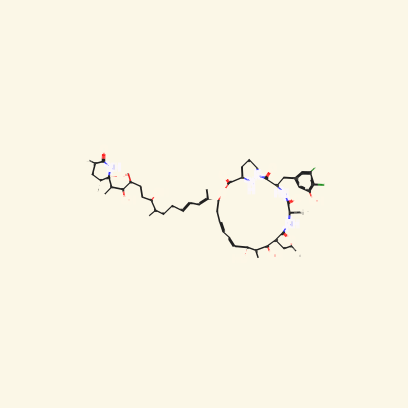 CCC1C[C@H](C)[C@@](O)(C(C)C(O)C(C)CCC(O)C(C)CC/C=C/C=C(\C)[C@@H]2C/C=C/C=C/[C@H](O)C(C)C(O)C(CCC(C)=O)C(=O)NC(C(C)C)C(=O)NC(Cc3cc(O)c(F)c(F)c3)C(=O)N3CCCC(N3)C(=O)O2)NC1=O